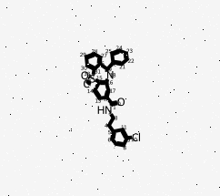 O=C(NCCc1cccc(Cl)c1)c1ccc2c(c1)N=C(c1ccccc1)c1ccccc1S2(=O)=O